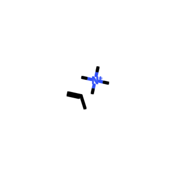 C=CC.C[N+](C)(C)C